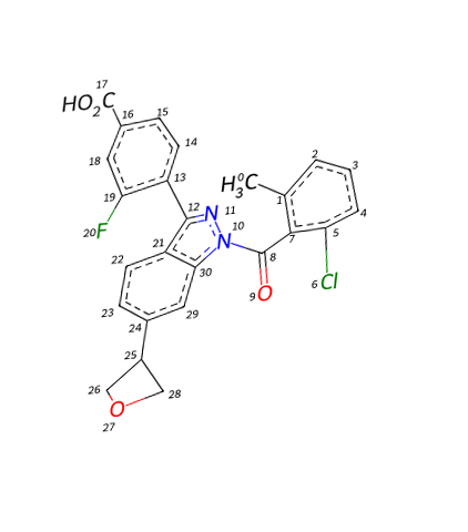 Cc1cccc(Cl)c1C(=O)n1nc(-c2ccc(C(=O)O)cc2F)c2ccc(C3COC3)cc21